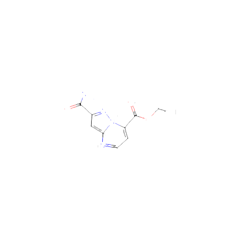 CCOC(=O)c1ccnc2cc(C(N)=O)nn12